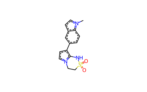 Cn1ccc2cc(-c3ccn4c3NS(=O)(=O)CC4)ccc21